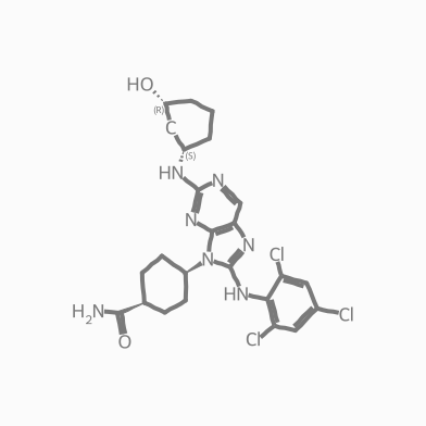 NC(=O)[C@H]1CC[C@@H](n2c(Nc3c(Cl)cc(Cl)cc3Cl)nc3cnc(N[C@H]4CCC[C@@H](O)C4)nc32)CC1